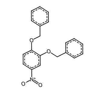 O=[N+]([O-])c1ccc(OCc2ccccc2)c(OCc2ccccc2)c1